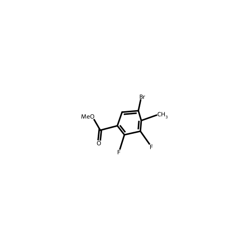 COC(=O)c1cc(Br)c(C)c(F)c1F